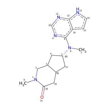 CN1CC2C[C@H](N(C)c3ncnc4[nH]ccc34)CC2CC1=O